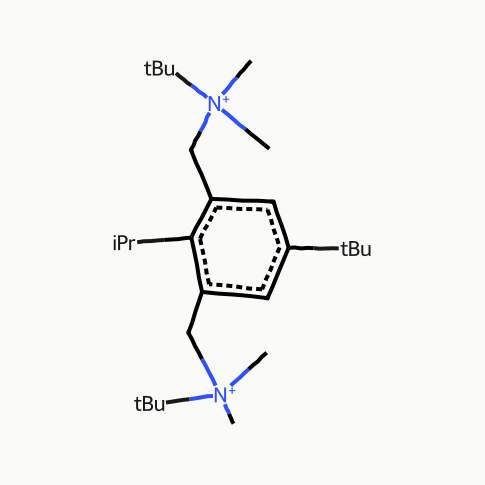 CC(C)c1c(C[N+](C)(C)C(C)(C)C)cc(C(C)(C)C)cc1C[N+](C)(C)C(C)(C)C